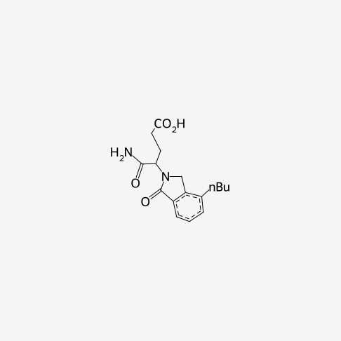 CCCCc1cccc2c1CN(C(CCC(=O)O)C(N)=O)C2=O